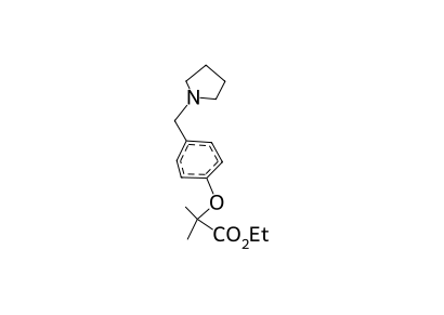 CCOC(=O)C(C)(C)Oc1ccc(CN2CCCC2)cc1